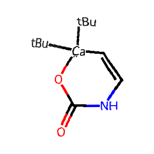 C[C](C)(C)[Ca]1([C](C)(C)C)[CH]=CNC(=O)[O]1